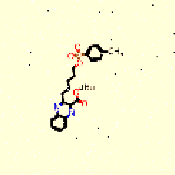 Cc1ccc(S(=O)(=O)OCCCCCc2nc3ccccc3nc2C(=O)OC(C)(C)C)cc1